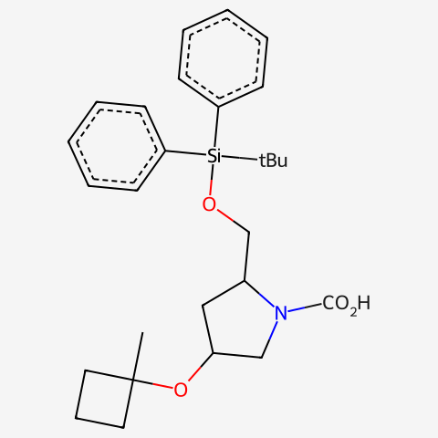 CC1(OC2CC(CO[Si](c3ccccc3)(c3ccccc3)C(C)(C)C)N(C(=O)O)C2)CCC1